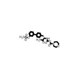 CS(=O)(=O)Oc1cccc(-c2ccc(C[C@H](NC(=O)OC(=O)N3CCCOCC3)C(N)=O)cc2)c1